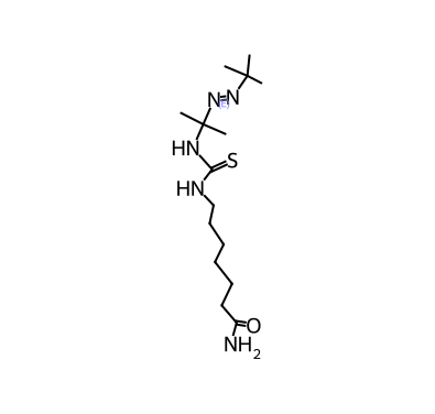 CC(C)(C)/N=N/C(C)(C)NC(=S)NCCCCCCC(N)=O